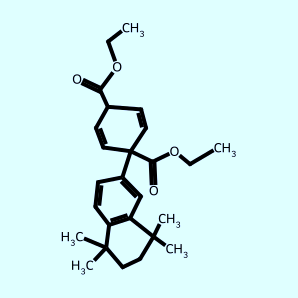 CCOC(=O)C1C=CC(C(=O)OCC)(c2ccc3c(c2)C(C)(C)CCC3(C)C)C=C1